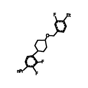 CCCc1ccc(C2CCC(OCc3ccc(CC)c(F)c3)CC2)c(F)c1F